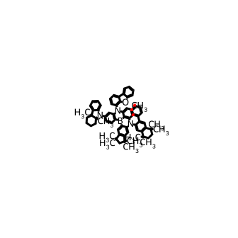 Cc1cc2c3c(c1)N(c1cccc4c1oc1ccccc14)c1cc(N4c5ccccc5C5(C)CCCCC45C)ccc1B3c1cc3c(cc1N2c1cc2c(cc1-c1ccccc1)C(C)(C)CCC2(C)C)C(C)(C)CC3(C)C